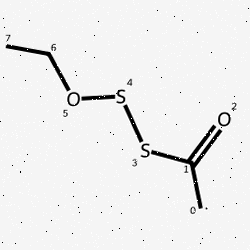 [CH2]C(=O)SSOCC